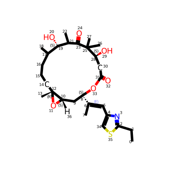 CCc1nc(/C=C(\C)[C@@H]2C[C@@H]3O[C@]3(C)CCCC(C)[C@H](O)C(C)C(=O)C(C)(C)[C@@H](O)CC(=O)O2)cs1